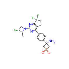 C[C@H]1[C@@H](F)CN1c1nc(-c2ccc(C3(N)CS(=O)(=O)C3)cc2)c2c(n1)C(F)(F)CC2